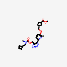 COC(=O)C1CCC(COc2ccc(-c3nnn(C)c3COC(=O)N(C)CC3CCC3)nc2C)C1